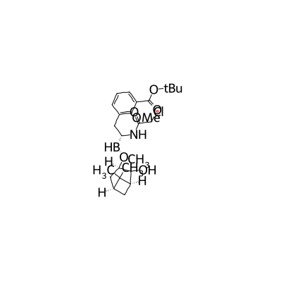 COc1c(C[C@@H](BO[C@@H]2C[C@@H]3C[C@@H](C3(C)C)[C@]2(C)O)NC(=O)CCl)cccc1C(=O)OC(C)(C)C